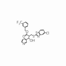 O=C(OCc1cccc(C(F)(F)F)c1)C(CSc1nc2cc(Cl)ccc2s1)C(O)c1cccnc1